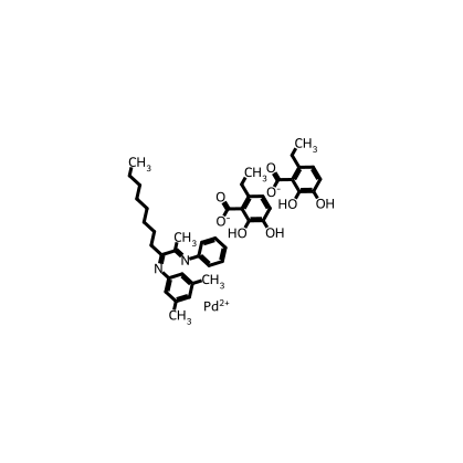 CCCCCCCCC(=Nc1cc(C)cc(C)c1)C(C)=Nc1ccccc1.CCc1ccc(O)c(O)c1C(=O)[O-].CCc1ccc(O)c(O)c1C(=O)[O-].[Pd+2]